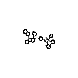 c1ccc(-c2nc(-c3ccc(-n4c5ccccc5c5c4ccc4c6ccccc6n(-c6ccc7ccccc7c6)c45)cc3)cc(-c3ccccc3-c3ccccc3)n2)cc1